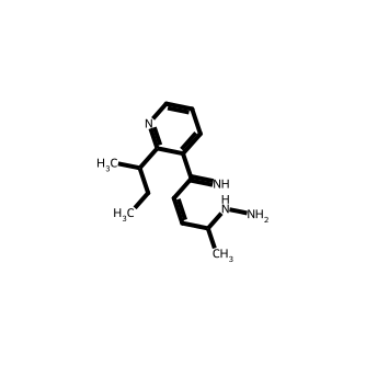 CCC(C)c1ncccc1C(=N)/C=C\C(C)NN